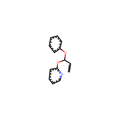 C=C[C](Oc1ccccc1)Oc1ccccn1